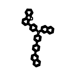 c1ccc2cc(-c3ccc(-c4ccc(N(c5ccc(-c6cccc7c6oc6ccccc67)cc5)c5ccc6ccccc6c5)cc4)cc3)ccc2c1